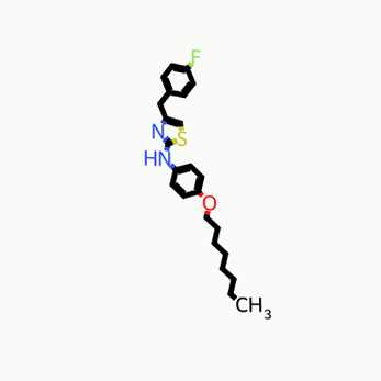 CCCCCCCCOc1ccc(Nc2nc(Cc3ccc(F)cc3)cs2)cc1